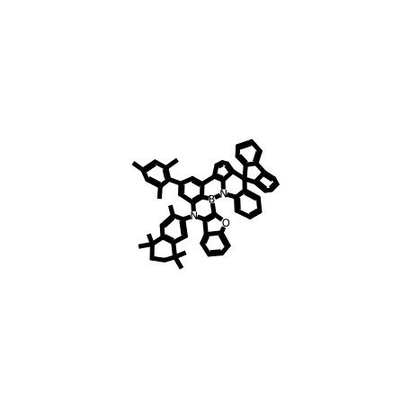 Cc1cc(C)c(-c2cc3c4c(c2)N(c2cc5c(cc2C)C(C)(C)CCC5(C)C)c2c(oc5ccccc25)B4N2c4ccccc4C4(c5ccccc5-c5ccccc54)c4cccc-3c42)c(C)c1